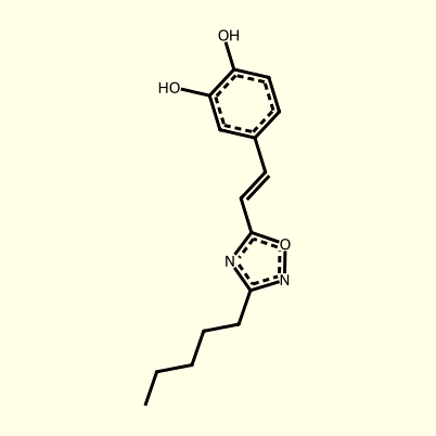 CCCCCc1noc(/C=C/c2ccc(O)c(O)c2)n1